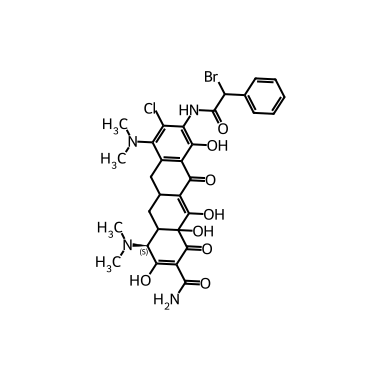 CN(C)c1c(Cl)c(NC(=O)C(Br)c2ccccc2)c(O)c2c1CC1CC3[C@H](N(C)C)C(O)=C(C(N)=O)C(=O)C3(O)C(O)=C1C2=O